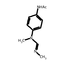 CN=CN(C)c1ccc(NC(C)=O)cc1